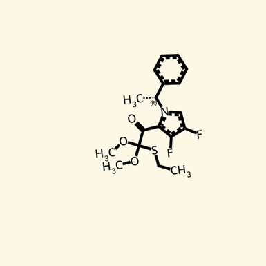 CCSC(OC)(OC)C(=O)c1c(F)c(F)cn1[C@H](C)c1ccccc1